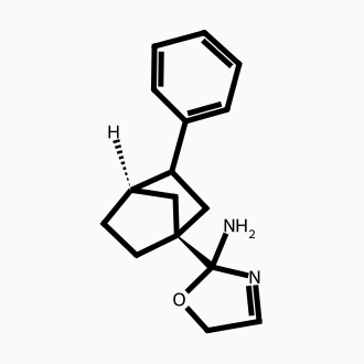 NC1([C@@]23CC[C@H](C2)C(c2ccccc2)C3)N=CCO1